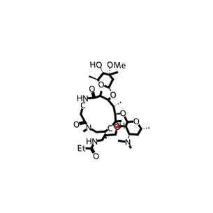 CCC(=O)NCCCO[C@H]1C(O[C@@H]2[C@@H](C)C(O[C@H]3C[C@@](C)(OC)[C@@H](O)[C@H](C)O3)C(C)C(=O)NCCC(=O)N(C)C[C@H](C)CC2(C)O)O[C@H](C)C[C@@H]1N(C)C